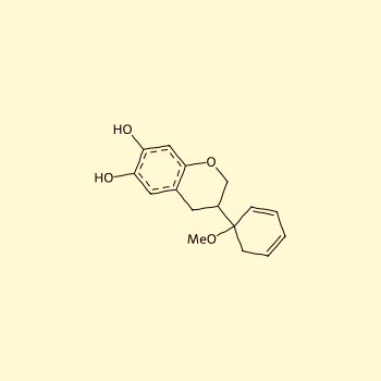 COC1(C2COc3cc(O)c(O)cc3C2)C=CC=CC1